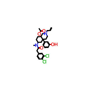 C=CCN1CCC2(c3cccc(O)c3)CC(N(C)C(=O)Cc3ccc(Cl)c(Cl)c3)CCC2(OC(C)=O)C1